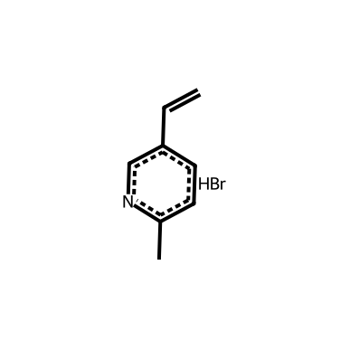 Br.C=Cc1ccc(C)nc1